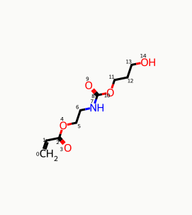 C=CC(=O)OCCNC(=O)OCCCO